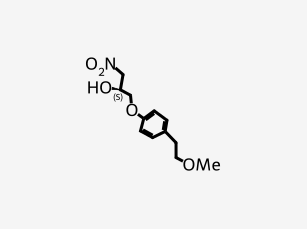 COCCc1ccc(OC[C@@H](O)C[N+](=O)[O-])cc1